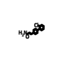 NC(=O)C=Cc1ccc(-c2ccccc2Cl)cc1